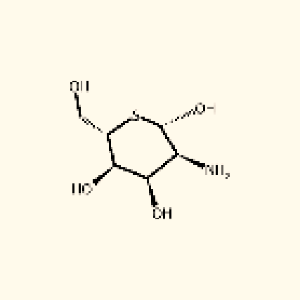 N[C@H]1[C@@H](O)[C@@H](O)[C@H](CO)S[C@@H]1O